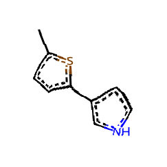 Cc1ccc(-c2cc[nH]c2)s1